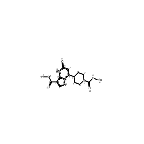 CCCOC(=O)c1cnn2c(C3CCN(C(=O)OC(C)(C)C)CC3)cc(=O)[nH]c12